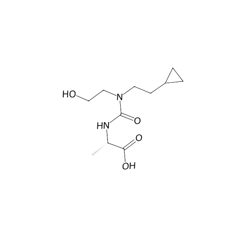 C[C@H](NC(=O)N(CCO)CCC1CC1)C(=O)O